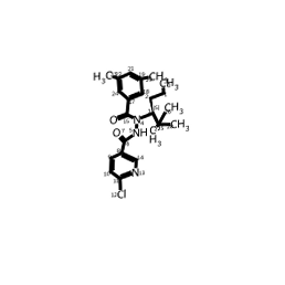 CCC[C@H](N(NC(=O)c1ccc(Cl)nc1)C(=O)c1cc(C)cc(C)c1)C(C)(C)C